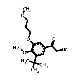 COCCCOc1cc(C(=O)CBr)cc(C(C)(C)C)c1OC